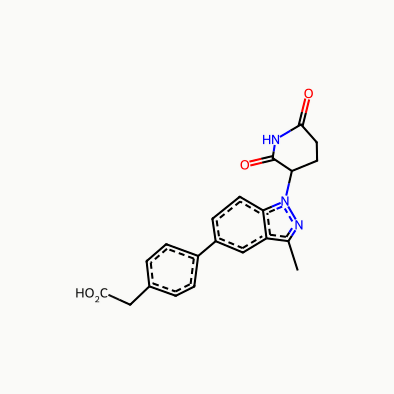 Cc1nn(C2CCC(=O)NC2=O)c2ccc(-c3ccc(CC(=O)O)cc3)cc12